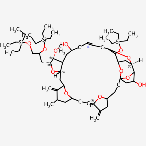 C=C1C(C)CC2CC[C@@H]3OC(CCC45CC(O)C(O4)[C@H]4CC(O5)C(O[Si](CC)(CC)CC)C(C/C=C/CC(O)CC5[C@H](CC1O2)O[C@H](CC(CO[Si](CC)(CC)CC)O[Si](CC)(CC)CC)[C@@H]5OC)O4)CC3=C